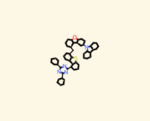 c1ccc(-c2nc(-c3ccccc3)nc(-c3cccc4sc5c(Cc6cccc7oc8ccc(-n9c%10ccccc%10c%10ccccc%109)cc8c67)cccc5c34)n2)cc1